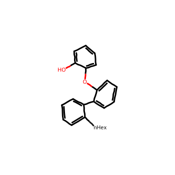 CCCCCCc1ccccc1-c1ccccc1Oc1ccccc1O